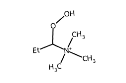 CCC(OO)[N+](C)(C)C